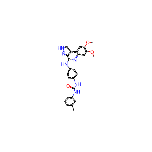 COc1cc2nc(Nc3ccc(NC(=O)Nc4cccc(C)c4)cc3)c3n[nH]cc3c2cc1OC